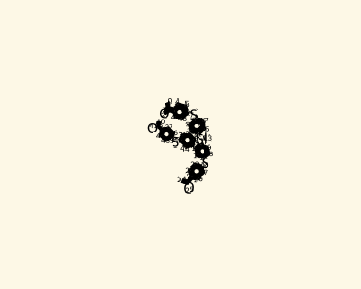 CC(=O)c1ccc(Sc2ccc(S(I)(c3ccc(Sc4ccc(C(C)=O)cc4)cc3)c3ccc(Sc4ccc(C(C)=O)cc4)cc3)cc2)cc1